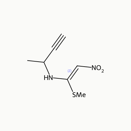 C#CC(C)N/C(=C/[N+](=O)[O-])SC